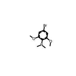 COc1cc(Br)cc(OC)c1N(C)C